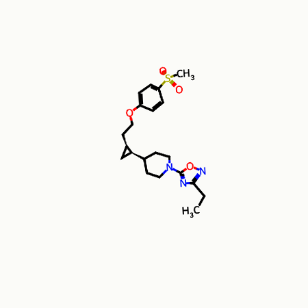 CCc1noc(N2CCC([C@H]3C[C@H]3CCOc3ccc(S(C)(=O)=O)cc3)CC2)n1